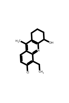 CCc1c(Cl)ccc2c(C)c3c(nc12)C(O)CCC3